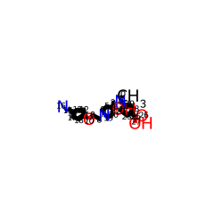 CN(CC1(O)CCN(CCOc2ccc(C#N)cc2)CC1)c1ccc(C(=O)O)cc1